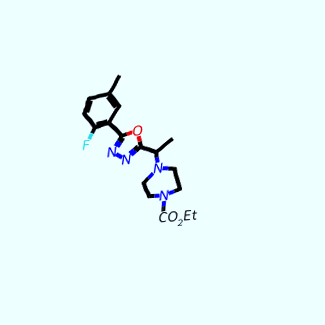 CCOC(=O)N1CCN(C(C)c2nnc(-c3cc(C)ccc3F)o2)CC1